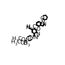 Cc1ccc2c(cnn2C2CCCCO2)c1Oc1cc(C#N)cc2c(N3CCN(C(=O)OC(C)(C)C)CC3)ncnc12